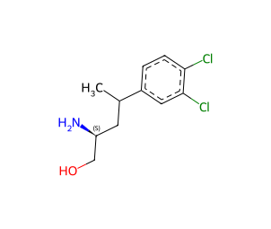 CC(C[C@H](N)CO)c1ccc(Cl)c(Cl)c1